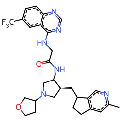 Cc1cc2c(cn1)C(C[C@H]1CN(C3CCOC3)CC1NC(=O)CNc1ncnc3ccc(C(F)(F)F)cc13)CC2